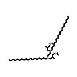 CCCCCCCC/C=C/CCCCCCCCN(CCN(CCCCCCCC/C=C/CCCCCCCC)CC(C)CN)CC(C)CN